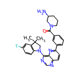 CC1(C)CN(c2ncnc3ccc(-c4cccc(C(=O)N5CCC[C@H](N)C5)c4)nc23)c2ccc(F)cc21